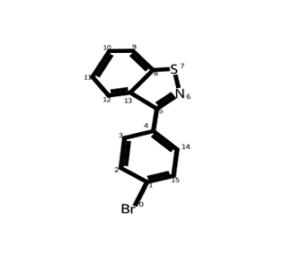 Brc1ccc(-c2nsc3ccccc23)cc1